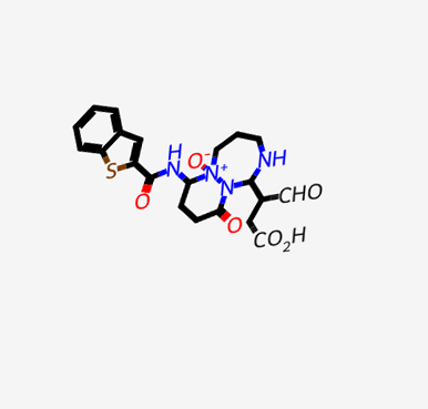 O=CC(CC(=O)O)C1NCCC[N+]2([O-])C(NC(=O)c3cc4ccccc4s3)CCC(=O)N12